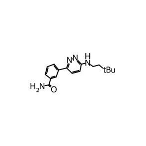 CC(C)(C)CCNc1ccc(-c2cccc(C(N)=O)c2)nn1